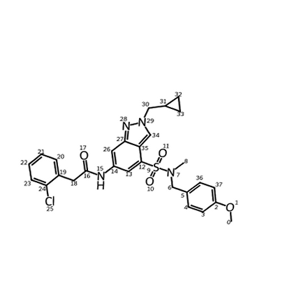 COc1ccc(CN(C)S(=O)(=O)c2cc(NC(=O)Cc3ccccc3Cl)cc3nn(CC4CC4)cc23)cc1